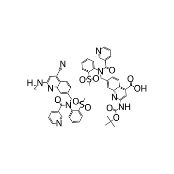 CC(C)(C)OC(=O)Nc1cc(C(=O)O)c2ccc(CN(C(=O)c3cccnc3)c3ccccc3S(C)(=O)=O)cc2n1.CS(=O)(=O)c1ccccc1N(Cc1ccc2c(C#N)cc(N)nc2c1)C(=O)c1cccnc1